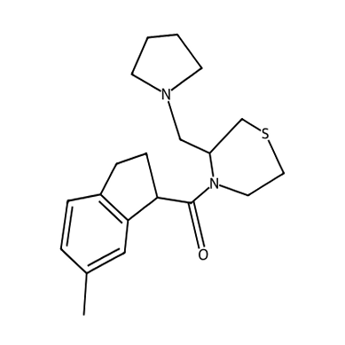 Cc1ccc2c(c1)C(C(=O)N1CCSCC1CN1CCCC1)CC2